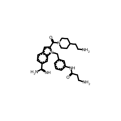 N=C(N)c1ccc2cc(C(=O)N3CCC(CCN)CC3)n(Cc3cccc(NC(=O)CCN)c3)c2c1